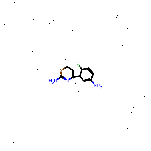 C[C@@]1(C2C=C(N)C=CC2F)CCSC(N)=N1